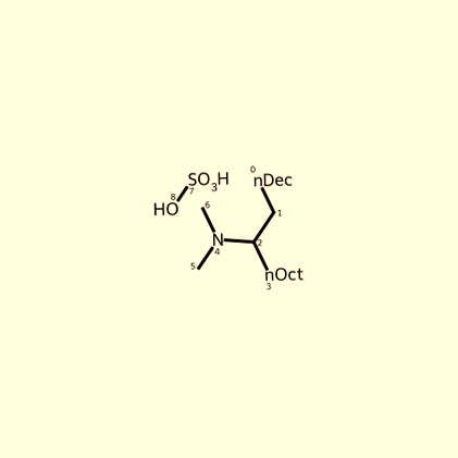 CCCCCCCCCCCC(CCCCCCCC)N(C)C.O=S(=O)(O)O